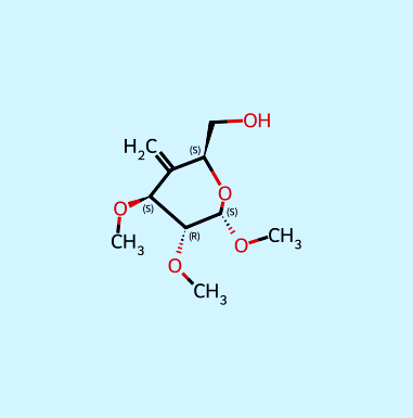 C=C1[C@@H](CO)O[C@H](OC)[C@H](OC)[C@H]1OC